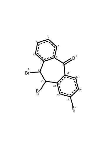 O=C1c2ccccc2C(Br)C(Br)c2cc(Br)ccc21